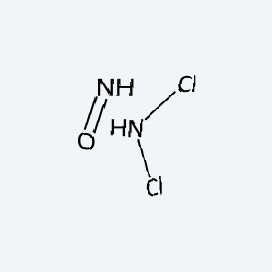 ClNCl.N=O